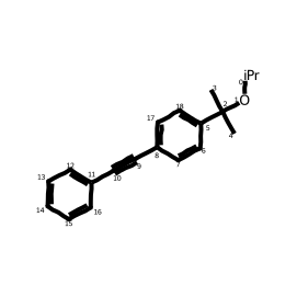 CC(C)OC(C)(C)c1ccc(C#Cc2ccccc2)cc1